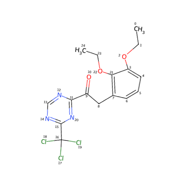 CCOc1cccc(CC(=O)c2ncnc(C(Cl)(Cl)Cl)n2)c1OCC